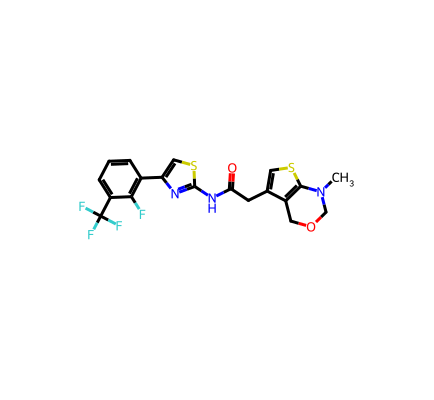 CN1COCc2c(CC(=O)Nc3nc(-c4cccc(C(F)(F)F)c4F)cs3)csc21